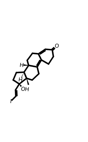 C[C@]12CCC3=C4CCC(=O)C=C4CC[C@H]3[C@@H]1CC[C@@]2(O)/C=C/I